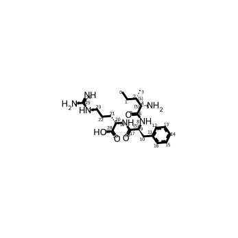 CC[C@H](C)[C@H](N)C(=O)N[C@@H](Cc1ccccc1)C(=O)N[C@@H](CCCNC(=N)N)C(=O)O